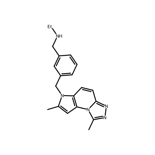 CCNCc1cccc(Cn2c(C)cc3c2ccc2nnc(C)n23)c1